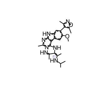 COc1cc2c(cc1-c1c(C)noc1C)[nH]c1nc(C)nc(N/C(C(C)=N)=C(\C)NC(C)C)c12